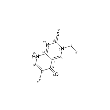 CCn1cc2c(=O)c(F)c[nH]c2nc1=S